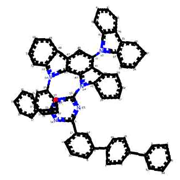 c1ccc(-c2ccc(-c3cccc(-c4nc(-c5ccccc5)nc(-n5c6ccccc6c6c(-n7c8ccccc8c8ccccc87)cc7c8ccccc8n(-c8ccccc8)c7c65)n4)c3)cc2)cc1